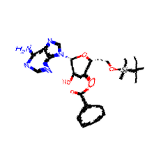 CC(C)(C)[Si](C)(C)OC[C@H]1O[C@@H](n2cnc3c(N)ncnc32)C(O)C1OC(=O)c1ccccc1